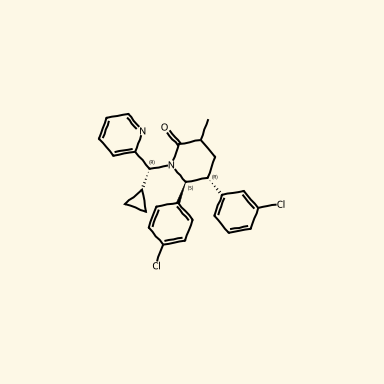 CC1C[C@H](c2cccc(Cl)c2)[C@@H](c2ccc(Cl)cc2)N([C@@H](c2ccccn2)C2CC2)C1=O